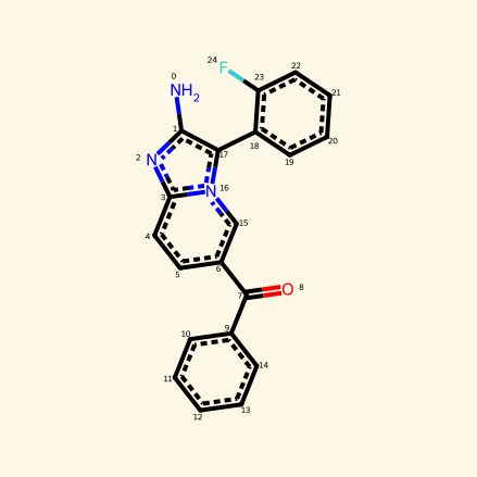 Nc1nc2ccc(C(=O)c3ccccc3)cn2c1-c1ccccc1F